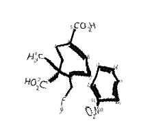 CC1(C(=O)O)CC(C(=O)O)=CC=C1F.O=[N+]([O-])c1ccccc1